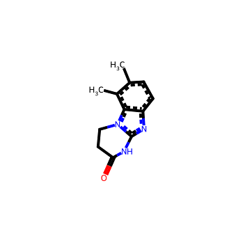 Cc1ccc2nc3n(c2c1C)CCC(=O)N3